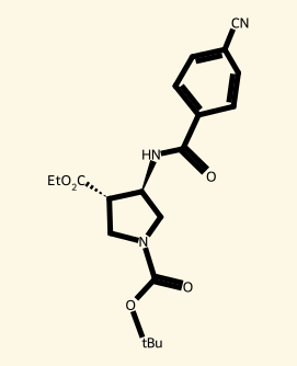 CCOC(=O)[C@H]1CN(C(=O)OC(C)(C)C)C[C@@H]1NC(=O)c1ccc(C#N)cc1